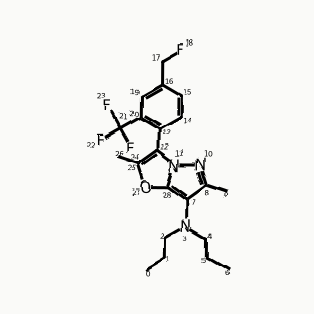 CCCN(CCC)c1c(C)nn2c(-c3ccc(CF)cc3C(F)(F)F)c(C)oc12